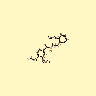 CCCOc1ccc(C(=O)N/N=C/c2ccccc2OC)cc1OC